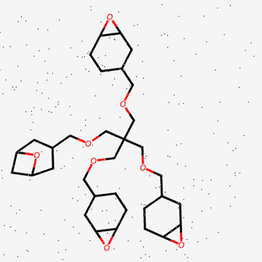 C1CC2OC2CC1COCC(COCC1CC2CC(C1)O2)(COCC1CCC2OC2C1)COCC1CCC2OC2C1